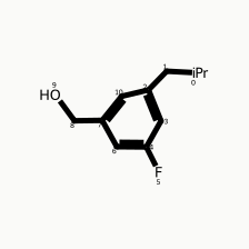 CC(C)Cc1cc(F)cc([CH]O)c1